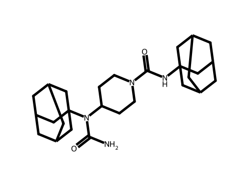 NC(=O)N(C1CCN(C(=O)NC23CC4CC(CC(C4)C2)C3)CC1)C12CC3CC(CC(C3)C1)C2